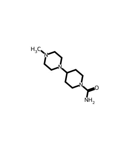 CN1CCN(C2CCN(C(N)=O)CC2)CC1